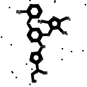 Cc1ncccc1Sc1cnc(Nc2nc(C(O)CO)ns2)c(Oc2c(C)nn(C)c2C)c1